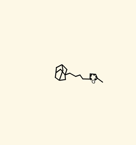 Cc1ccc(CCCCC23CC4CC(CC(C4)C2)C3)o1